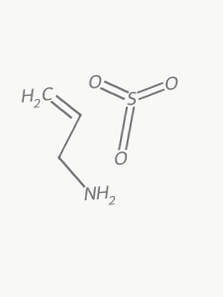 C=CCN.O=S(=O)=O